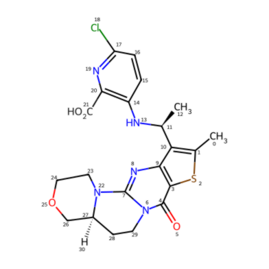 Cc1sc2c(=O)n3c(nc2c1[C@H](C)Nc1ccc(Cl)nc1C(=O)O)N1CCOC[C@@H]1CC3